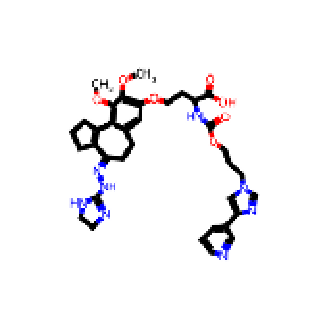 COc1c(OCCC(NC(=O)OCCCn2cnc(-c3cccnc3)c2)C(=O)O)cc2c(c1OC)C1=C(CCC1)C(=NNC1=NCCN1)CC2